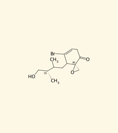 CC(CC1C(Br)=CCC(=O)[C@]12CO2)[C@H](C)CO